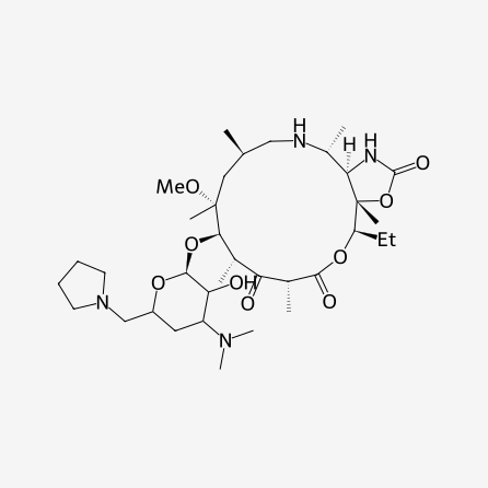 CC[C@H]1OC(=O)[C@H](C)C(=O)[C@H](C)[C@@H](O[C@@H]2OC(CN3CCCC3)CC(N(C)C)C2O)[C@](C)(OC)C[C@@H](C)CN[C@H](C)[C@H]2NC(=O)O[C@@]21C